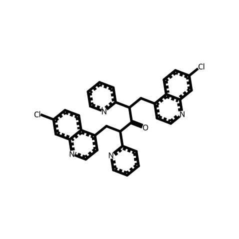 O=C(C(Cc1ccnc2cc(Cl)ccc12)c1ccccn1)C(Cc1ccnc2cc(Cl)ccc12)c1ccccn1